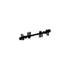 O=C(NCCCCCCCCCCCCNC(=O)NCCOCCOC(=O)NC1CCCCC1)NCCOCCOC(=O)NC1CCCCC1